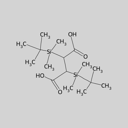 CC(C)(C)[Si](C)(C)C(C(=O)O)C(C(=O)O)[Si](C)(C)C(C)(C)C